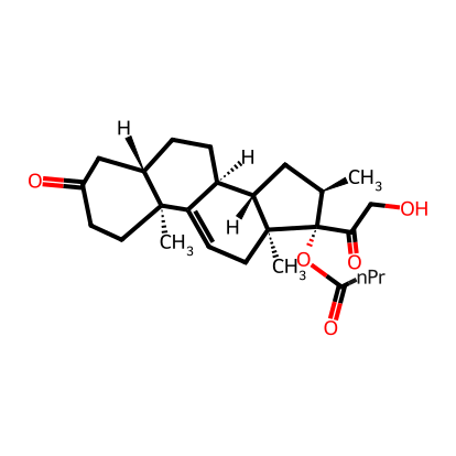 CCCC(=O)O[C@@]1(C(=O)CO)[C@H](C)C[C@H]2[C@@H]3CC[C@H]4CC(=O)CC[C@]4(C)C3=CC[C@@]21C